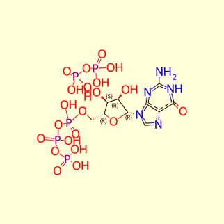 Nc1nc2c(ncn2[C@@H]2O[C@H](COP(=O)(O)OP(=O)(O)OP(=O)(O)O)[C@@H](O)[C@H]2O)c(=O)[nH]1.O=P(O)(O)OP(=O)(O)O